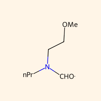 CCCN([C]=O)CCOC